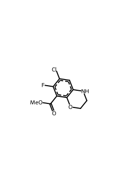 COC(=O)c1c(F)c(Cl)cc2c1OCCN2